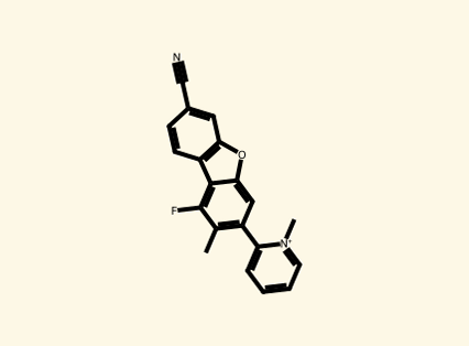 Cc1c(-c2cccc[n+]2C)cc2oc3cc(C#N)ccc3c2c1F